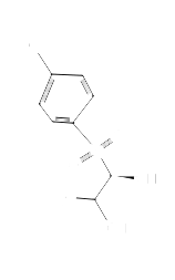 Cc1ccc(S(=O)(=O)[C@@H](C)C(C)C)cc1